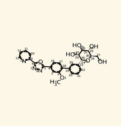 COc1cc(-c2nnc(-c3ccccn3)o2)ccc1-c1cccc([C@H]2O[C@H](CO)[C@@H](O)[C@H](O)[C@@H]2O)c1